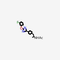 CC(=O)NC(C)Cc1ccc(-c2cnc(Oc3cccc(F)c3)nc2)cc1